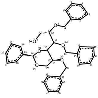 OC[C@H](OCc1ccccc1)C(OCc1ccccc1)C1O[C@H](c2ccccc2)OC[C@@H]1OCc1ccccc1